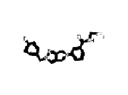 O=C(NCC(F)(F)F)c1cccc(N2Cc3cn(Cc4ccc(F)cc4)nc3C2)c1